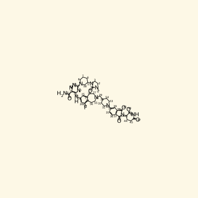 CN1CCN(C2CCCN(c3nnc(C(N)=O)c(Nc4cc(F)c5c(c4)CCN(CC4CCN(c6ccc7c(c6)C(=O)N(C6CCC(=O)NC6=O)C7=O)CC4)CC5)n3)C2)C1=O